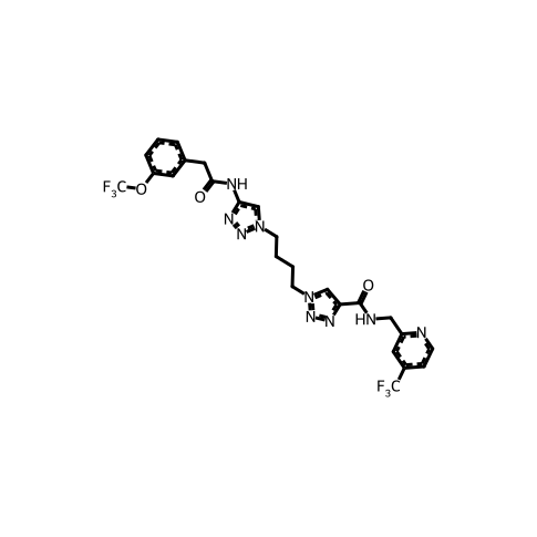 O=C(Cc1cccc(OC(F)(F)F)c1)Nc1cn(CCCCn2cc(C(=O)NCc3cc(C(F)(F)F)ccn3)nn2)nn1